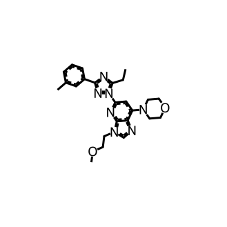 CCc1nc(-c2cccc(C)c2)nn1-c1cc(N2CCOCC2)c2ncn(CCOC)c2n1